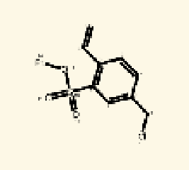 C=Cc1ccc(CCl)cc1S(=O)(=O)OCC